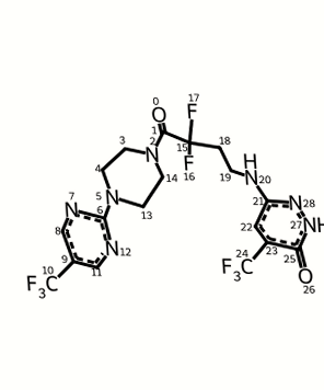 O=C(N1CCN(c2ncc(C(F)(F)F)cn2)CC1)C(F)(F)CCNc1cc(C(F)(F)F)c(=O)[nH]n1